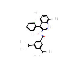 Cc1cc(C)c2ncc(N(O)C(=O)c3cc(C(C)C)cc(C(C)C)c3)c(-c3ccccc3Cl)c2c1